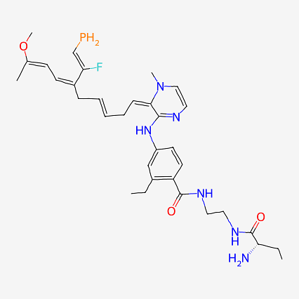 CCc1cc(NC2=NC=CN(C)/C2=C/C/C=C/CC(=C/C=C(\C)OC)/C(F)=C/P)ccc1C(=O)NCCNC(=O)[C@@H](N)CC